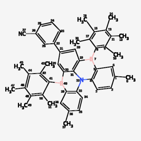 Cc1ccc2c(c1)B(c1c(C)c(C)c(C)c(C)c1C)c1cc(-c3cccc(C#N)c3)cc3c1N2c1ccc(C)cc1B3c1c(C)c(C)c(C)c(C)c1C